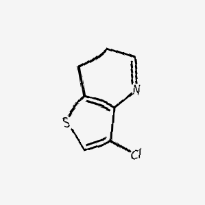 Clc1csc2c1N=CCC2